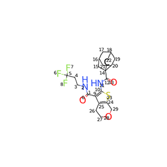 O=C(NCCC(F)(F)F)c1c(NC(=O)C23CC4CC(CC2C4)C3)sc2c1CCOC2